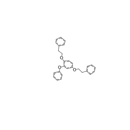 c1ccc(CCOc2ccc(OCCc3ccccc3)c(Oc3ccccc3)c2)cc1